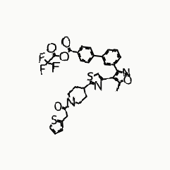 Cc1onc(-c2cccc(-c3ccc(C(=O)OC(=O)C(F)(F)F)cc3)c2)c1-c1csc(C2CCN(C(=O)Cc3cccs3)CC2)n1